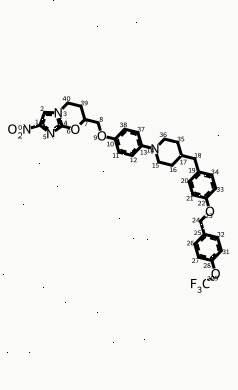 O=[N+]([O-])c1cn2c(n1)OC(COc1ccc(N3CCC(Cc4ccc(OCc5ccc(OC(F)(F)F)cc5)cc4)CC3)cc1)CC2